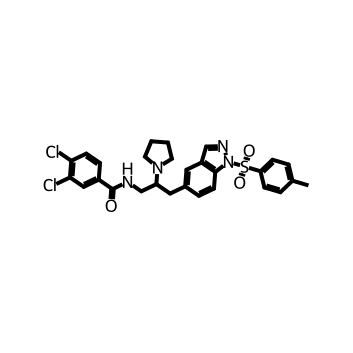 Cc1ccc(S(=O)(=O)n2ncc3cc(CC(CNC(=O)c4ccc(Cl)c(Cl)c4)N4CCCC4)ccc32)cc1